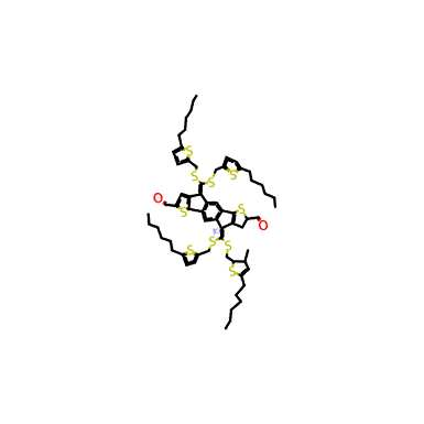 CCCCCCC1=CC(C)C(CS/C(SCc2ccc(CCCCCC)s2)=C2\C3=C(SC(C=O)C3)c3cc4c(cc32)-c2sc(C=O)cc2C4=C(SCc2ccc(CCCCCC)s2)SCc2ccc(CCCCCC)s2)S1